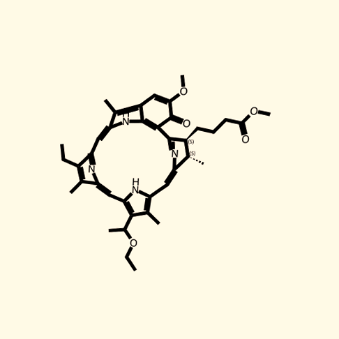 CCOC(C)c1c(C)c2cc3nc(c4c5[nH]c(cc6nc(cc1[nH]2)C(C)=C6CC)c(C)c5C=C(OC)C4=O)[C@@H](CCCC(=O)OC)[C@@H]3C